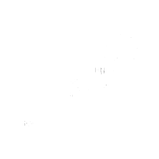 O=C(CCC(=O)OCCCCCCO)NCC1CCCCCCCC1